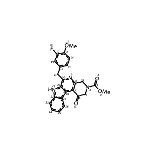 COC(=O)N1CC(=O)c2c(nc(Cc3ccc(OC)c(F)c3)c3[nH]c4ccccc4c23)C1